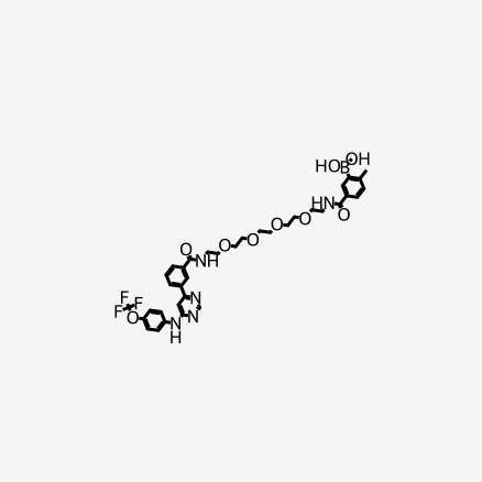 Cc1ccc(C(=O)NCCOCCOCCOCCOCCNC(=O)c2cccc(-c3cc(Nc4ccc(OC(F)(F)F)cc4)ncn3)c2)cc1B(O)O